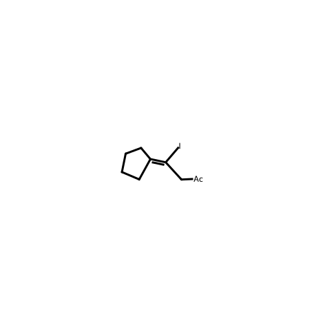 CC(=O)CC(I)=C1CCCC1